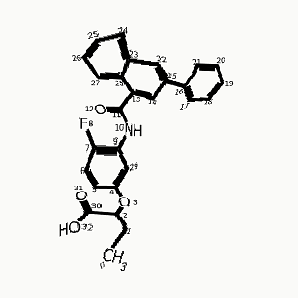 CCC(Oc1ccc(F)c(NC(=O)c2cc(-c3ccccc3)cc3ccccc23)c1)C(=O)O